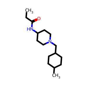 CCC(=O)NC1CCN(CC2CCC(C)CC2)CC1